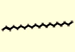 [CH2]C=CCCCCCCCCCCCCCCCC[CH2]